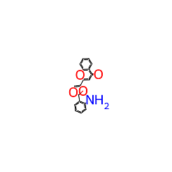 Nc1ccccc1C1OC=C(c2cc(=O)c3ccccc3o2)O1